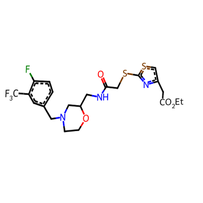 CCOC(=O)Cc1csc(SCC(=O)NCC2CN(Cc3ccc(F)c(C(F)(F)F)c3)CCO2)n1